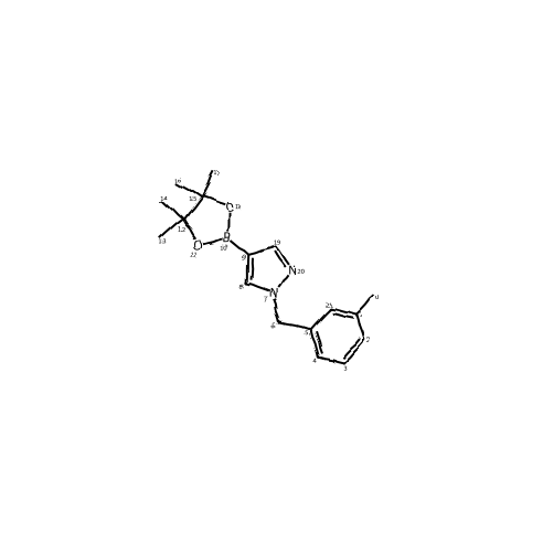 Cc1cccc(Cn2cc(B3OC(C)(C)C(C)(C)O3)cn2)c1